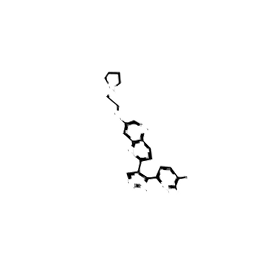 Cc1nc(-c2n[nH]cc2-c2ccc3ncc(NCCN4CCCC4)cc3n2)ccc1F